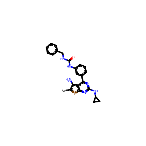 CC(=O)c1sc2nc(NC3CC3)nc(-c3cccc(NC(=O)NCc4ccccc4)c3)c2c1N